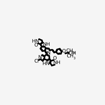 CC(C)(O)COc1ccc(/C=C/c2cc3c(ccc4c5c([nH]c43)CCNC5=O)cn2)cc1.O=C1NCCc2[nH]c3c(ccc4cnc(Cl)cc43)c21